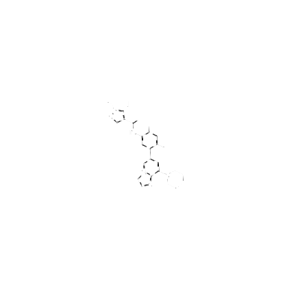 CC(C)(C)n1ncc(C(=O)Nc2cc(-c3cc(N4CCOCC4)c4nccn4c3)c(F)cc2F)c1F